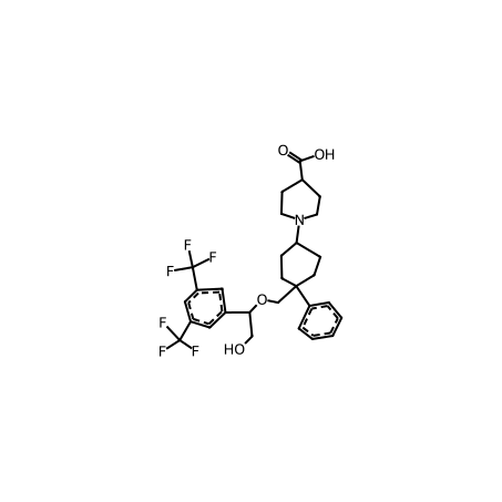 O=C(O)C1CCN(C2CCC(COC(CO)c3cc(C(F)(F)F)cc(C(F)(F)F)c3)(c3ccccc3)CC2)CC1